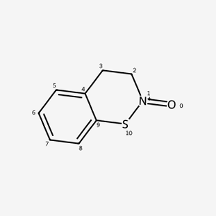 O=[N+]1CCc2ccccc2S1